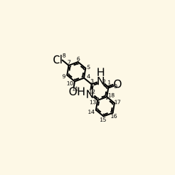 O=c1[nH]c(-c2ccc(Cl)cc2O)nc2ccccc12